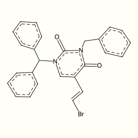 O=c1c(/C=C/Br)cn(C(c2ccccc2)c2ccccc2)c(=O)n1Cc1ccccc1